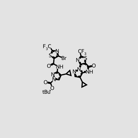 CC(C)(C)OC(=O)n1cc(C2CC2)c(NC(=O)c2sc(C(F)(F)F)nc2Br)n1.O=c1[nH]c2c(C3CC3)cnn2c2nc(C(F)(F)F)sc12